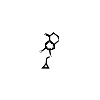 O=C1CCSc2cc(OCC3CC3)c(Cl)cc21